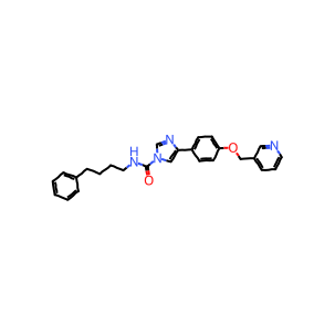 O=C(NCCCCc1ccccc1)n1cnc(-c2ccc(OCc3cccnc3)cc2)c1